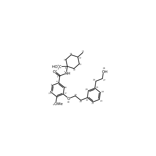 COc1ncc(C(=O)NC2(C(=O)O)CCC(C)CC2)cc1OCCc1cccc(CCO)c1